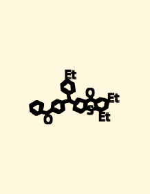 CCc1ccc(C(c2ccc(C(=O)c3ccccc3)cc2)c2ccc3sc4c(CC)cc(CC)cc4c(=O)c3c2)cc1